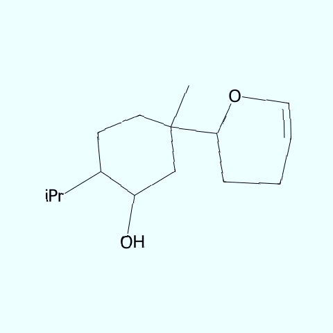 CC(C)C1CCC(C)(C2CCC=CO2)CC1O